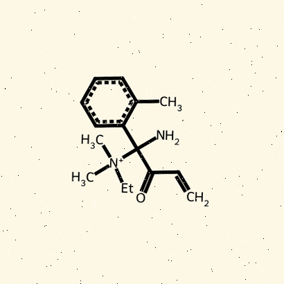 C=CC(=O)C(N)(c1ccccc1C)[N+](C)(C)CC